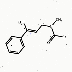 CCC(=O)N(C)C/C=C(\C)c1ccccc1